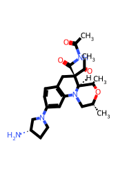 CC(=O)NC(=O)[C@]1(C(C)=O)Cc2ccc(N3CC[C@H](N)C3)cc2N2C[C@@H](C)O[C@@H](C)[C@@H]21